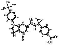 O=C(O)c1ccc(C2(NC(=O)c3cc(F)c4[nH]cc(-c5ccc(C(F)(F)F)cc5)c4c3)CC2)cc1